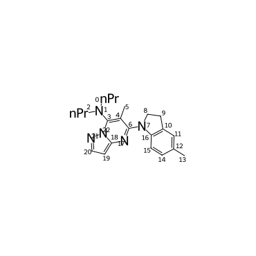 CCCN(CCC)c1c(C)c(N2CCc3cc(C)ccc32)nc2ccnn12